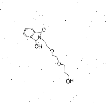 O=C1c2ccccc2C(O)N1CCOCCOCCCO